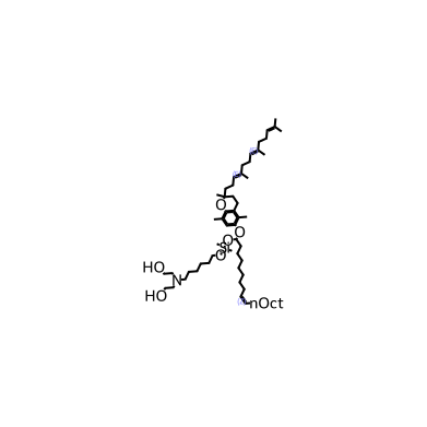 CCCCCCCC/C=C\CCCCCCCC(Oc1cc(C)c2c(c1C)CCC(C)(CC/C=C(\C)CC/C=C(\C)CCC=C(C)C)O2)O[Si](C)(C)OCCCCCCN(CCO)CCO